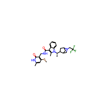 CSc1cc(C)[nH]c(=O)c1CNC(=O)c1c(C)n([C@H](C)C2CC3CC2CN3CC(F)(F)F)c2ccccc12